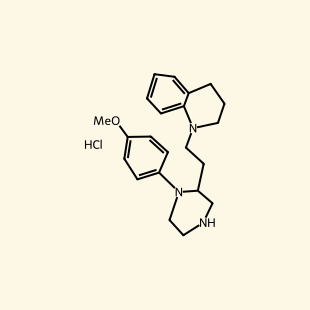 COc1ccc(N2CCNCC2CCN2CCCc3ccccc32)cc1.Cl